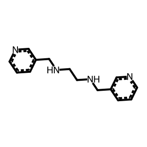 c1cncc(CNCCNCc2cccnc2)c1